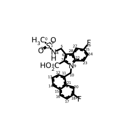 CS(=O)(=O)NCc1c(C(=O)O)n(Cc2cccc3ccc(F)cc23)c2ccc(F)cc12